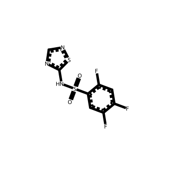 O=S(=O)(Nc1ncns1)c1cc(F)c(F)cc1F